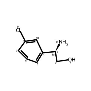 N[C@@H](CO)c1cccc(Cl)c1